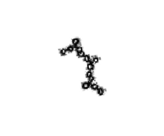 C1=CCCC(N(c2ccc(-c3ccc4c(c3)C=CC(N(c3ccccc3)c3ccc(-c5ccccc5)cc3)C4)cc2)c2ccc(-c3ccc4cc(N(c5ccccc5)c5ccc(-c6ccccc6)cc5)ccc4c3)cc2)=C1